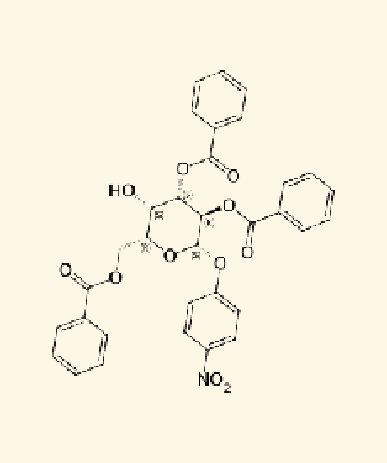 O=C(OC[C@H]1O[C@@H](Oc2ccc([N+](=O)[O-])cc2)[C@H](OC(=O)c2ccccc2)[C@@H](OC(=O)c2ccccc2)[C@H]1O)c1ccccc1